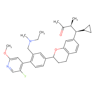 CCN(C)Cc1cc(C2CCc3ccc([C@H](C4CC4)[C@H](C)C(C)=O)cc3O2)ccc1-c1cc(OC)ncc1F